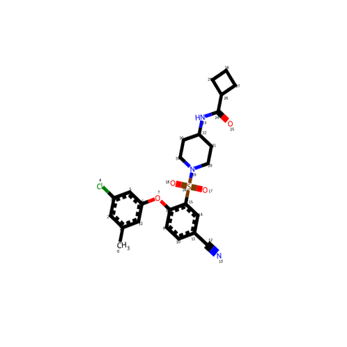 Cc1cc(Cl)cc(Oc2ccc(C#N)cc2S(=O)(=O)N2CCC(NC(=O)C3CCC3)CC2)c1